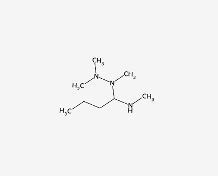 CCCC(NC)N(C)N(C)C